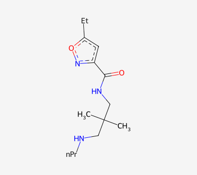 CCCNCC(C)(C)CNC(=O)c1cc(CC)on1